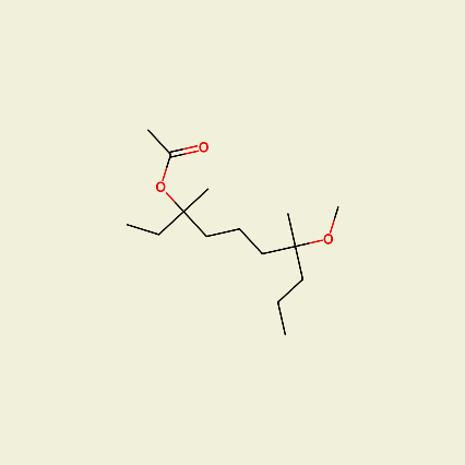 CCCC(C)(CCCC(C)(CC)OC(C)=O)OC